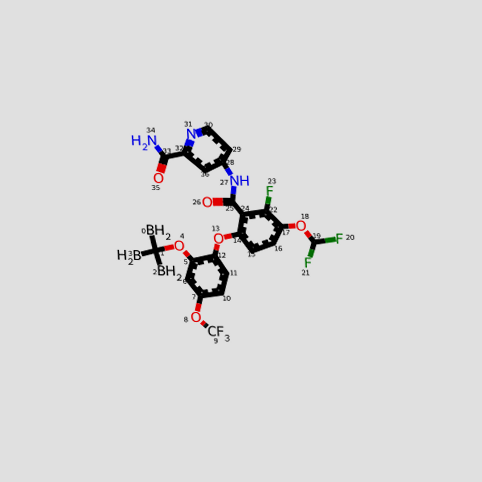 BC(B)(B)Oc1cc(OC(F)(F)F)ccc1Oc1ccc(OC(F)F)c(F)c1C(=O)Nc1ccnc(C(N)=O)c1